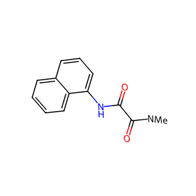 CNC(=O)C(=O)Nc1cccc2ccccc12